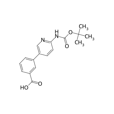 CC(C)(C)OC(=O)Nc1ccc(-c2cccc(C(=O)O)c2)cn1